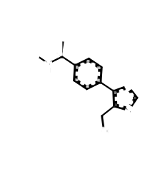 C[C@H](NC(=O)O)c1ccc(-c2scnc2CO)cc1